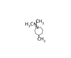 C=C1CCCN(N(C)C)CC1